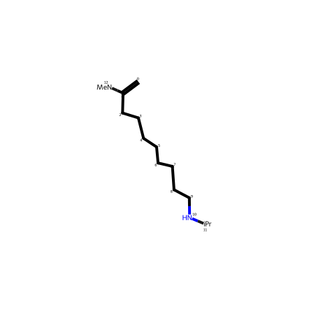 C=C(CCCCCCCCNC(C)C)NC